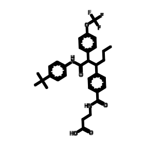 CCCC(c1ccc(C(=O)NCCC(=O)O)cc1)C(C(=O)Nc1ccc(C(C)(C)C)cc1)c1ccc(OC(F)(F)F)cc1